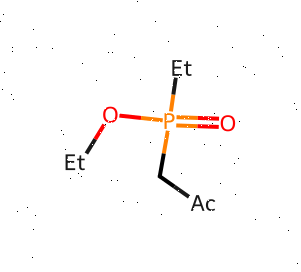 CCOP(=O)(CC)CC(C)=O